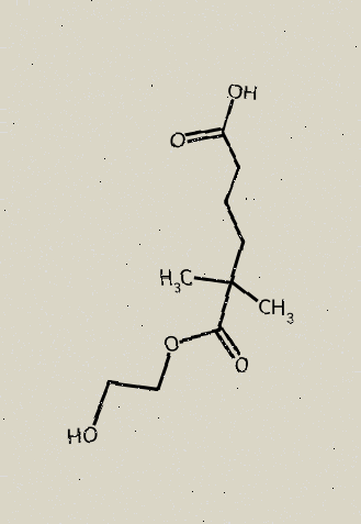 CC(C)(CCCC(=O)O)C(=O)OCCO